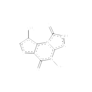 CCCn1c(=O)c2scc(C)c2n2c(=S)[nH]nc12